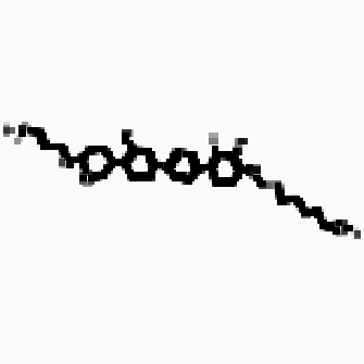 C/C=C/COC1CCC(c2ccc(-c3ccc(-c4ccc(OCCCCCCCC)c(F)c4F)cc3)cc2F)CO1